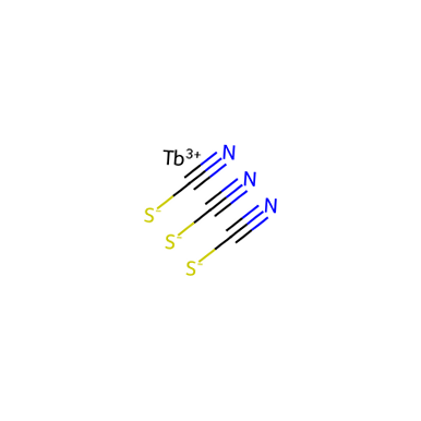 N#C[S-].N#C[S-].N#C[S-].[Tb+3]